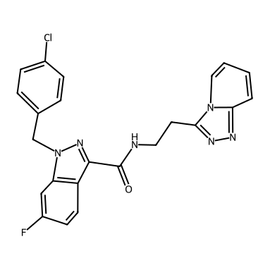 O=C(NCCc1nnc2ccccn12)c1nn(Cc2ccc(Cl)cc2)c2cc(F)ccc12